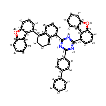 C1=c2c(-c3nc(-c4ccc(-c5ccccc5)cc4)nc(-c4cccc5oc6ccccc6c45)n3)cccc2=C(c2cccc3oc4ccccc4c23)CC1